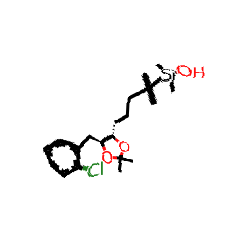 CC1(C)O[C@@H](CCCC(C)(C)[Si](C)(C)O)[C@H](Cc2ccccc2Cl)O1